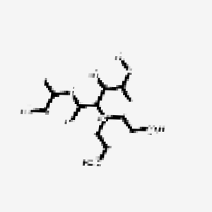 CC(C)OC(C)C(O)C(C(OC(C)CO)C(C)C)N(CCC(=O)O)CCC(=O)O